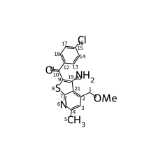 COCc1cc(C)nc2sc(C(=O)c3ccc(Cl)cc3)c(N)c12